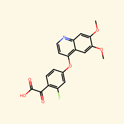 COc1cc2nccc(Oc3ccc(C(=O)C(=O)O)c(F)c3)c2cc1OC